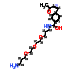 CC(=O)/C=C\c1ccc(C(O)NCCCOCCOCCOCCCN)cc1